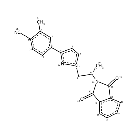 Cc1cc(-c2ccn(C[C@H](C)N3C(=O)c4ccccc4C3=O)n2)ccc1C#N